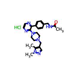 CC(=O)NCc1ccc(-c2nccnc2N2CCN(Cc3cnn(C)c3C)CC2)cc1.Cl